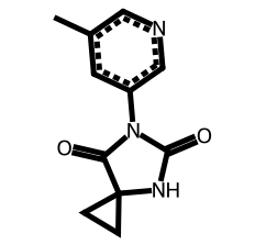 Cc1cncc(N2C(=O)NC3(CC3)C2=O)c1